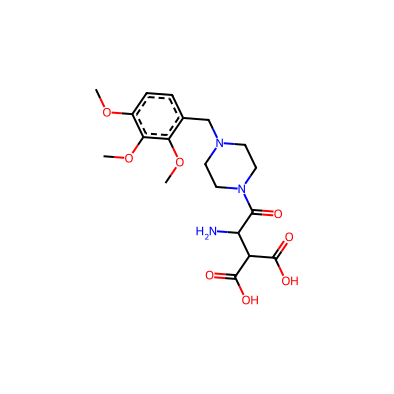 COc1ccc(CN2CCN(C(=O)C(N)C(C(=O)O)C(=O)O)CC2)c(OC)c1OC